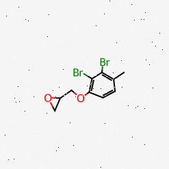 Cc1ccc(OCC2CO2)c(Br)c1Br